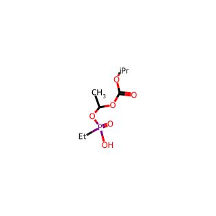 CCP(=O)(O)OC(C)OC(=O)OC(C)C